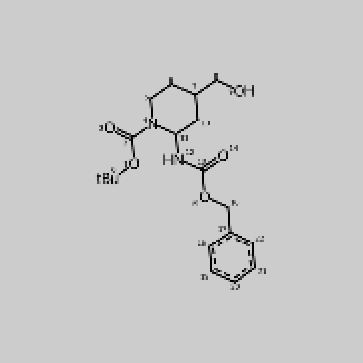 CC(C)(C)OC(=O)N1CCC(CO)CC1NC(=O)OCc1ccccc1